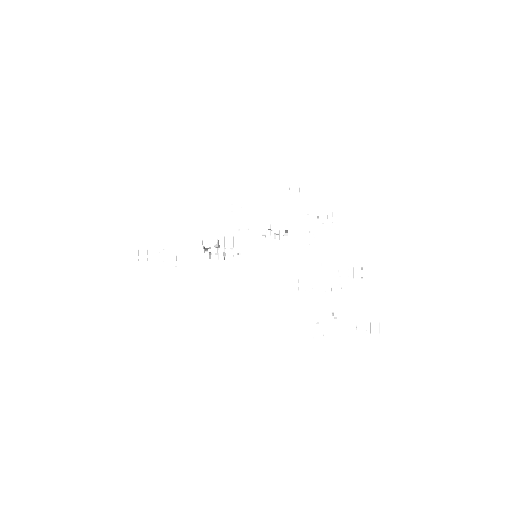 O=C(O)O.O=C(O)O.O=C(O)O.O=C(O)O.[CaH2].[CaH2].[CaH2]